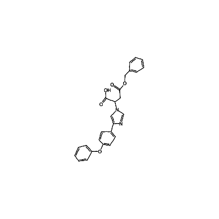 O=C(CC(C(=O)O)n1cnc(-c2ccc(Oc3ccccc3)cc2)c1)OCc1ccccc1